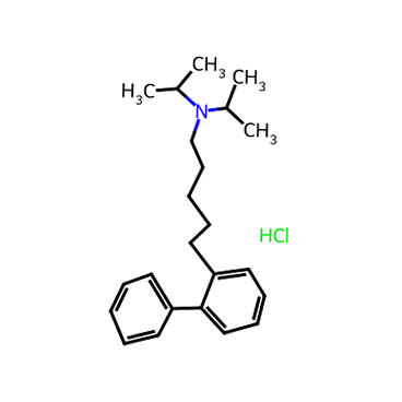 CC(C)N(CCCCCc1ccccc1-c1ccccc1)C(C)C.Cl